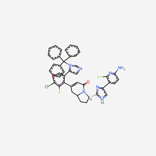 Nc1ccc(-c2c[nH]c([C@@H]3CCC4CC(c5c(-c6cncn6C(c6ccccc6)(c6ccccc6)c6ccccc6)ccc(Cl)c5F)=CC(=O)N43)n2)c(F)n1